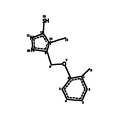 Cc1ccccc1OCc1nnc(S)n1C